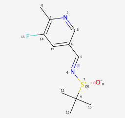 Cc1ncc(/C=N/[S@+]([O-])C(C)(C)C)cc1F